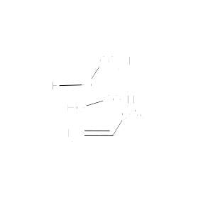 C=COC(C)=O.O=C(O)O.O=C(O)OF